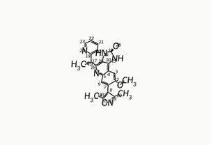 COc1cc2c(cc1-c1c(C)noc1C)nc([C@@H](C)c1ccccn1)c1[nH]c(=O)[nH]c12